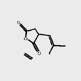 C=C.CC(C)=CC1CC(=O)OC1=O